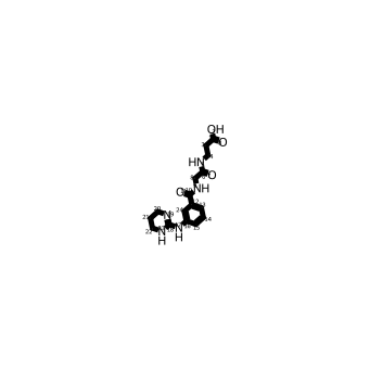 O=C(O)CCNC(=O)CNC(=O)c1cccc(NC2=NCCCN2)c1